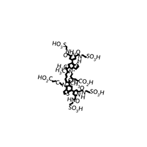 CC1(C)C(/C=C/C=C2/N(CCCCCC(=O)O)c3c(cc(-c4cc(C(=O)NCCS(=O)(=O)O)nc(C(=O)NCCS(=O)(=O)O)c4)c4sccc34)C2(C)C)=[N+](CCCCCC(=O)O)c2c1cc(-c1cc(C(=O)NCCS(=O)(=O)O)nc(C(=O)NCCS(=O)(=O)O)c1)c1sccc21